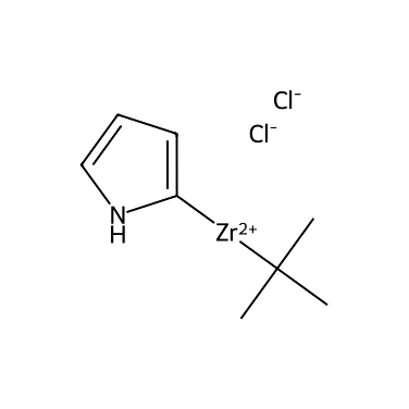 C[C](C)(C)[Zr+2][c]1ccc[nH]1.[Cl-].[Cl-]